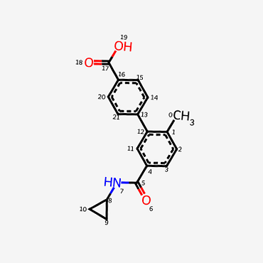 Cc1ccc(C(=O)NC2CC2)cc1-c1ccc(C(=O)O)cc1